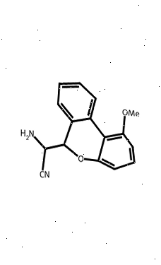 COc1cccc2c1-c1ccccc1C(C(N)C#N)O2